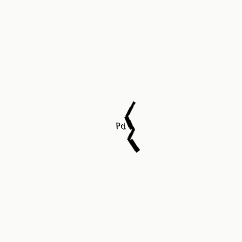 C=CC=CC.[Pd]